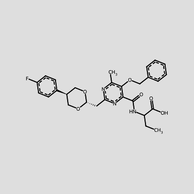 CCC(NC(=O)c1nc(C[C@H]2OC[C@H](c3ccc(F)cc3)CO2)nc(C)c1OCc1ccccc1)C(=O)O